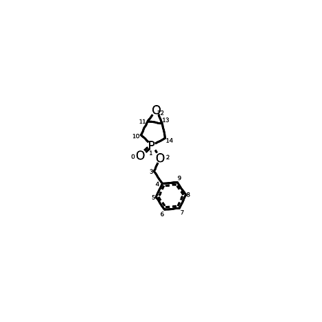 O=P1(OCc2ccccc2)CC2OC2C1